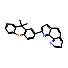 CC1(C)c2ccccc2Sc2ccc(-c3ccc4ccc5cccnc5c4n3)cc21